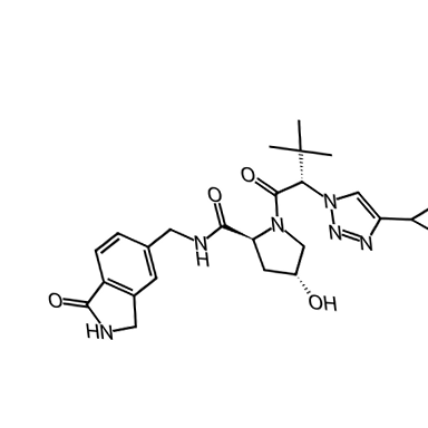 CC(C)(C)[C@@H](C(=O)N1C[C@H](O)C[C@H]1C(=O)NCc1ccc2c(c1)CNC2=O)n1cc(C2CC2)nn1